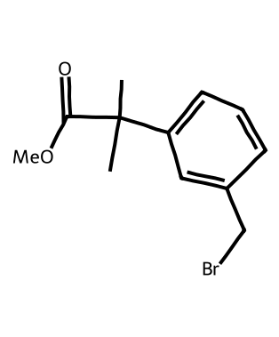 COC(=O)C(C)(C)c1cccc(CBr)c1